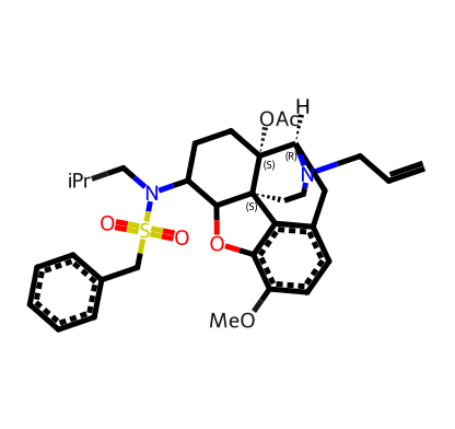 C=CCN1CC[C@]23c4c5ccc(OC)c4OC2C(N(CC(C)C)S(=O)(=O)Cc2ccccc2)CC[C@@]3(OC(C)=O)[C@H]1C5